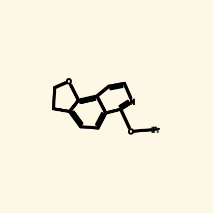 CC(C)Oc1nccc2c3c(ccc12)CCO3